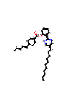 CCCCCCCCCCCc1cnc(-c2ccccc2OC(=O)C2CCC(CCCCC)CC2)nc1